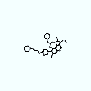 Cn1c(=O)n2c3c4c(c(-c5ccc(OCCCN6CCCCC6)nc5)c(F)cc4ncc31)O[C@@H](CN1CCCCC1)C2